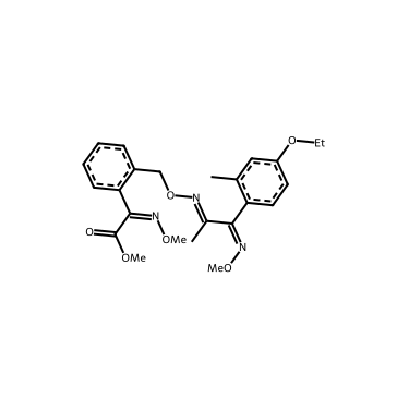 CCOc1ccc(C(=NOC)C(C)=NOCc2ccccc2C(=NOC)C(=O)OC)c(C)c1